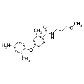 COCCCNC(=O)c1ccc(Oc2ccc(N)cc2C)cc1C